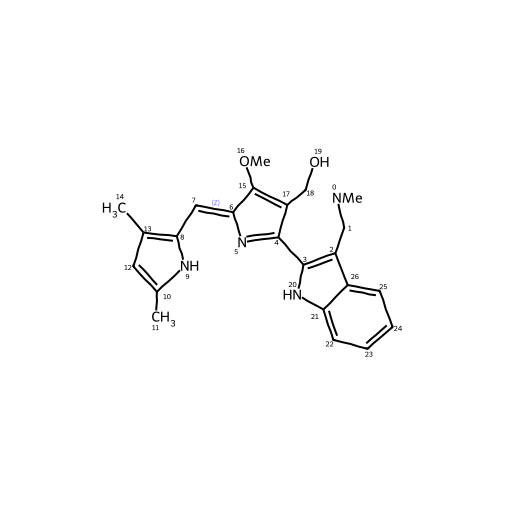 CNCc1c(C2=N/C(=C\c3[nH]c(C)cc3C)C(OC)=C2CO)[nH]c2ccccc12